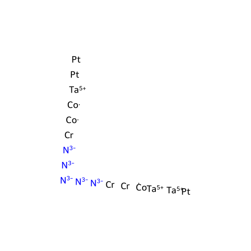 [Co].[Co].[Co].[Cr].[Cr].[Cr].[N-3].[N-3].[N-3].[N-3].[N-3].[Pt].[Pt].[Pt].[Ta+5].[Ta+5].[Ta+5]